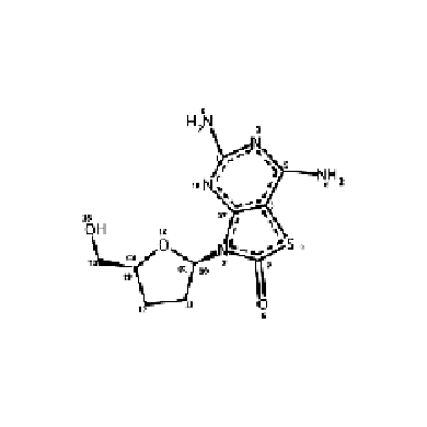 Nc1nc(N)c2sc(=O)n([C@H]3CC[C@@H](CO)O3)c2n1